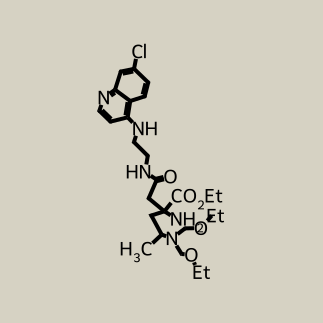 CCOCN(COCC)C(C)CC(N)(CC(=O)NCCNc1ccnc2cc(Cl)ccc12)C(=O)OCC